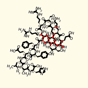 CC(C)C[C@H](NC(=O)[C@H](CCC(=O)O)NC(=O)[C@H](Cc1ccc(O)cc1)NC(=O)[C@H](Cc1ccccc1)NC(=O)[C@@H](NC(=O)[C@H](CCC(=O)O)NC(=O)[C@H](CO)NC(=O)[C@H](CCC(=O)O)NC(=O)[C@H](CCCCN)NC(=O)[C@H](CO)NC(=O)[C@H](CCCNC(=N)N)NC(=O)[C@H](CCCNC(=N)N)NC(=O)[C@H](CO)NC(=O)[C@@H](N)CCCNC(=N)N)C(C)C)C(=O)N[C@@H](C)C(=O)N[C@@H](Cc1c[nH]cn1)C(=O)O